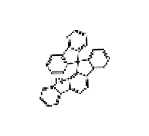 c1ccc2c(c#1)C1(c3ccccc3-2)c2ccccc2-c2ccc3c([nH]c4ccccc43)c21